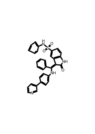 O=C1Nc2ccc(S(=O)(=O)Nc3ccccc3)cc2/C1=C(/Nc1ccc(-c2cccnc2)cc1)c1ccccc1